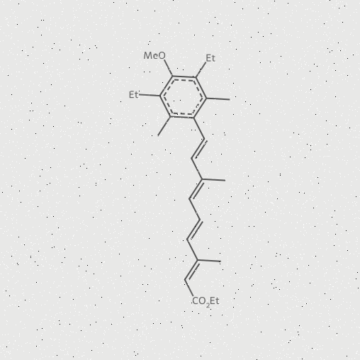 CCOC(=O)/C=C(C)/C=C/C=C(C)/C=C/c1c(C)c(CC)c(OC)c(CC)c1C